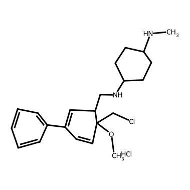 CNC1CCC(NCC2C=C(c3ccccc3)C=CC2(CCl)OC)CC1.Cl